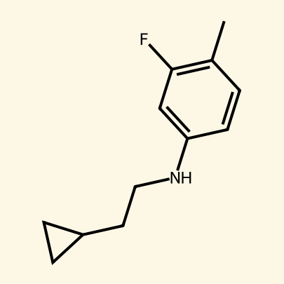 Cc1ccc(NCCC2CC2)cc1F